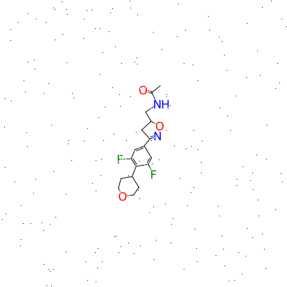 CC(=O)NCC1CC(c2cc(F)c(C3CCOCC3)c(F)c2)=NO1